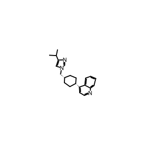 CC(C)c1cn(C[C@H]2CC[C@@H](c3ccnc4ccccc43)CC2)cn1